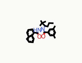 CCCC(N(NC(=O)c1cccc2ccccc12)C(=O)c1cc(C)cc(C)c1)C(C)(C)C